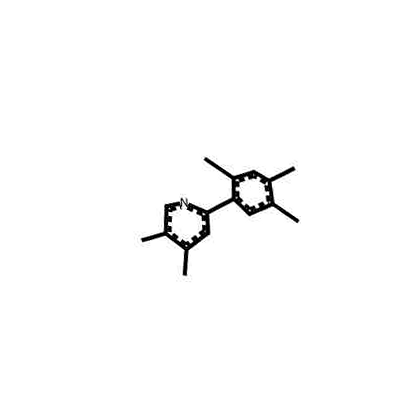 Cc1cnc(-c2cc(C)c(C)cc2C)cc1C